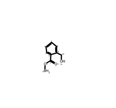 BOC(=O)c1ccccc1CO